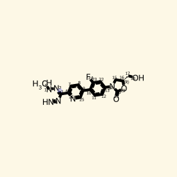 CN/N=C(\N=N)c1ccc(-c2ccc(N3C[C@H](CO)OC3=O)cc2F)cn1